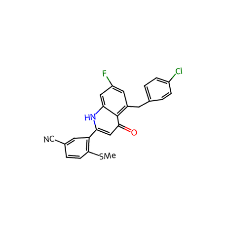 CSc1ccc(C#N)cc1-c1cc(=O)c2c(Cc3ccc(Cl)cc3)cc(F)cc2[nH]1